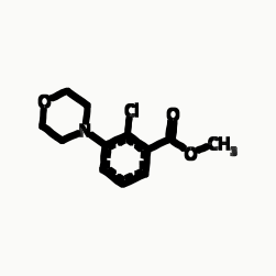 COC(=O)c1cccc(N2CCOCC2)c1Cl